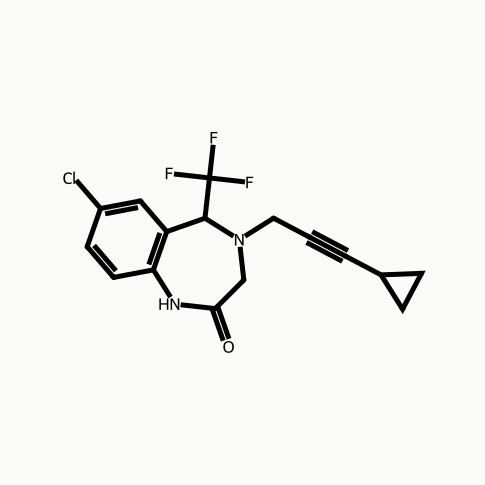 O=C1CN(CC#CC2CC2)C(C(F)(F)F)c2cc(Cl)ccc2N1